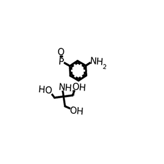 NC(CO)(CO)CO.Nc1cccc(P=O)c1